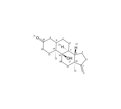 C=C1CC[C@H]2[C@@H]3CCC4CC(=O)CC[C@]4(C)[C@@]3(O)CC[C@]12C